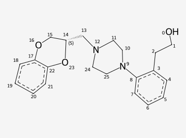 OCCc1ccccc1N1CCN(C[C@H]2COc3ccccc3O2)CC1